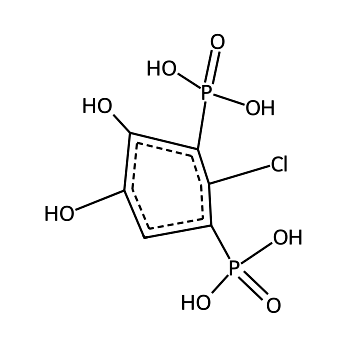 O=P(O)(O)c1cc(O)c(O)c(P(=O)(O)O)c1Cl